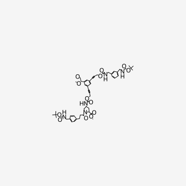 COC(=O)C1CC(NC(=O)OCC#Cc2cc(C#CCOC(=O)NCc3cccc(CNC(=O)OC(C)(C)C)c3)cc(C(C=O)OC)c2)CN1C(=O)CCc1ccc(CNC(=O)OC(C)(C)C)cc1